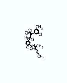 Cc1cc(Cl)cc(C2C(C(=O)Nc3ccc(Cl)c(C(=O)N[C@H](C)CSCCC(F)(F)F)c3)C2(Cl)Cl)c1